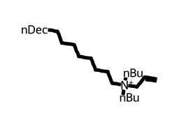 C=CC[N+](CCCC)(CCCC)CCCCCCCCCCCCCCCCCC